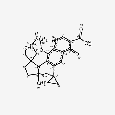 CCC1(CNC)CCC(C)(C)N1c1c(C2CC2)cc2c(=O)c(C(=O)O)c[nH]c2c1OC